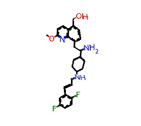 COc1ccc2c(CO)ccc(CC(N)C3CCC(NC/C=C/c4cc(F)ccc4F)CC3)c2n1